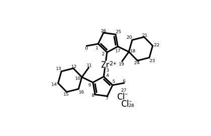 CC1=[C]([Zr+2][C]2=C(C)CC=C2C2(C)CCCCC2)C(C2(C)CCCCC2)=CC1.[Cl-].[Cl-]